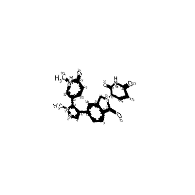 Cn1ncc(-c2ccc3c(c2)CN([C@H]2CCC(=O)NC2=O)C3=O)c1-c1ccc(=O)n(C)c1